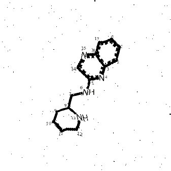 c1ccc2nc(NCC3CCCCN3)cnc2c1